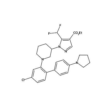 CCOC(=O)c1cnn(C2CCCN(c3cc(Cl)ccc3-c3ccc(N4CCCC4)cc3)C2)c1C(F)F